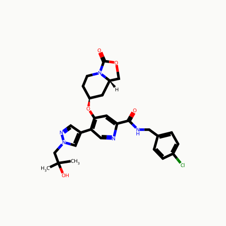 CC(C)(O)Cn1cc(-c2cnc(C(=O)NCc3ccc(Cl)cc3)cc2O[C@H]2CCN3C(=O)OC[C@@H]3C2)cn1